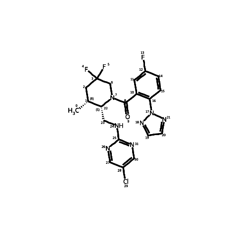 C[C@@H]1CC(F)(F)CN(C(=O)c2cc(F)ccc2-n2nccn2)[C@@H]1CNc1ncc(Cl)cn1